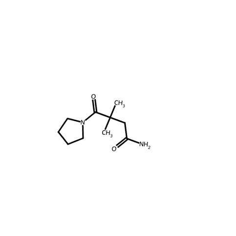 CC(C)(CC(N)=O)C(=O)N1CCCC1